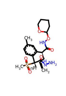 C=CC[C@H](C(=O)NOC1CCCCO1)c1cc(C)ccc1[C@](CCC)(C(=O)NN)S(C)(=O)=O